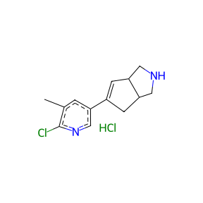 Cc1cc(C2=CC3CNCC3C2)cnc1Cl.Cl